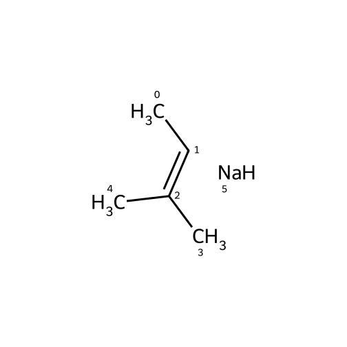 CC=C(C)C.[NaH]